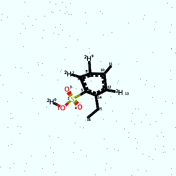 [2H]OS(=O)(=O)c1c([2H])c([2H])c(C)c([2H])c1CC